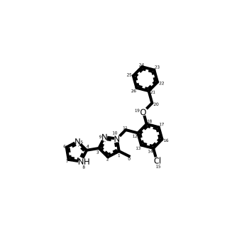 Cc1cc(-c2ncc[nH]2)nn1Cc1cc(Cl)ccc1OCc1ccccc1